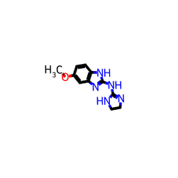 COc1ccc2[nH]c(NC3=NCCN3)nc2c1